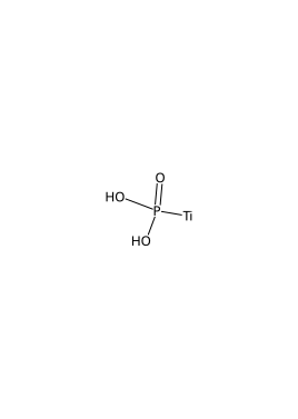 O=[P](O)(O)[Ti]